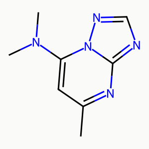 Cc1cc(N(C)C)n2ncnc2n1